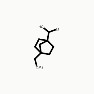 CCC(O)C12CCC(COC)(CC1)C2